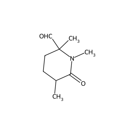 CC1CCC(C)(C=O)N(C)C1=O